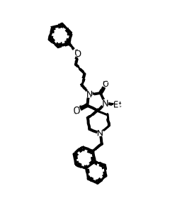 CCN1C(=O)N(CCCOc2ccccc2)C(=O)C12CCN(Cc1cccc3ccccc13)CC2